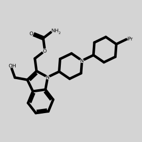 CC(C)C1CCC(N2CCC(n3c(COC(N)=O)c(CO)c4ccccc43)CC2)CC1